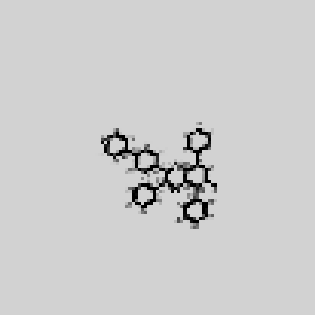 Cc1cc(-c2ccccc2)c2nc(-c3ccc(-c4ccncc4)cc3)c(-c3ccccc3)nc2c1-c1ccccc1